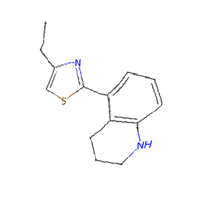 CCc1csc(-c2cccc3c2CCCN3)n1